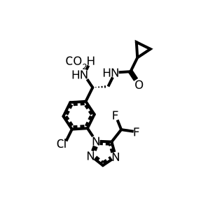 O=C(O)N[C@H](CNC(=O)C1CC1)c1ccc(Cl)c(-n2ncnc2C(F)F)c1